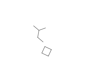 C1CCC1.CCC(C)C